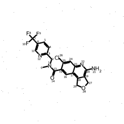 CN(Cc1ccc(C(F)(F)F)cn1)C(=O)c1cc2c3c(c(N)nc2cc1Cl)COC3